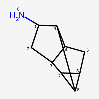 NC1CC2C3CC4C2C4C13